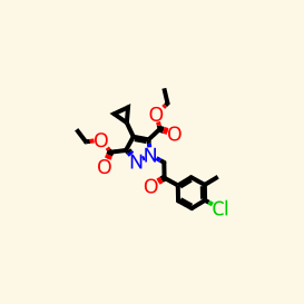 CCOC(=O)c1nn(CC(=O)c2ccc(Cl)c(C)c2)c(C(=O)OCC)c1C1CC1